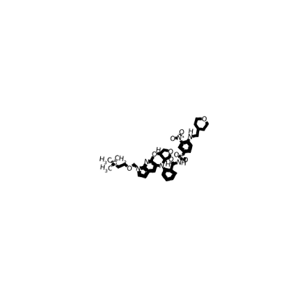 C[Si](C)(C)CCOCn1ccc2cc3c(nc21)O[C@@H]1COC[C@H]1N3c1ccccc1C(=O)NS(=O)(=O)c1ccc(NCC2CCOCC2)c([N+](=O)[O-])c1